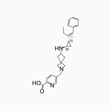 CC/C(=C\c1ccccc1)[C@@H]1C[C@H]1NC1CC2(C1)CN(Cc1ccc(C(=O)O)nc1)C2